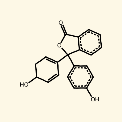 O=C1OC(C2=CCC(O)C=C2)(c2ccc(O)cc2)c2ccccc21